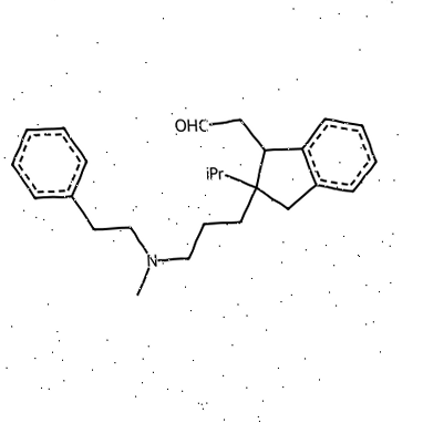 CC(C)C1(CCCN(C)CCc2ccccc2)Cc2ccccc2C1CC=O